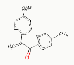 C=C(C(=O)c1ccc(C)cc1)c1ccc(OC)cc1